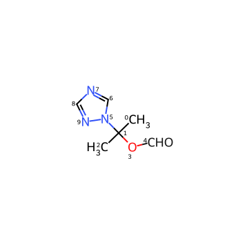 CC(C)(OC=O)n1cncn1